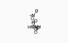 COCCCn1cc(C)c2ccc(C(=O)N(C[C@@H]3CNC[C@H]3NS(=O)(=O)Cc3ccccc3)C(C)C)cc21